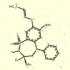 CCCC[C@]1(CC)CN(c2ccccc2)c2cc(SC)c(O/C=C/C(=O)O)cc2S(=O)(=O)N1C